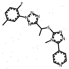 Cc1ccc(F)c(-n2nnc(C(C)Sc3nnc(-c4ccncc4)n3C)n2)c1